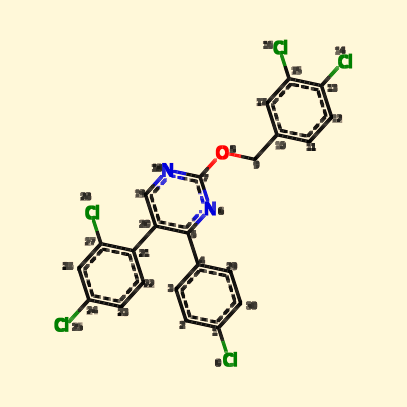 Clc1ccc(-c2nc(OCc3ccc(Cl)c(Cl)c3)ncc2-c2ccc(Cl)cc2Cl)cc1